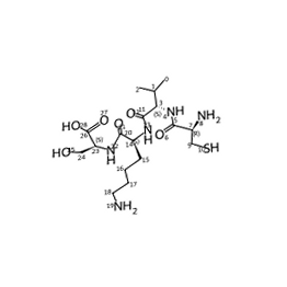 CC(C)[C@H](NC(=O)[C@@H](N)CS)C(=O)N[C@@H](CCCCN)C(=O)N[C@@H](CO)C(=O)O